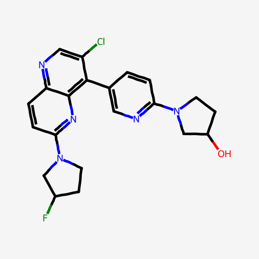 OC1CCN(c2ccc(-c3c(Cl)cnc4ccc(N5CCC(F)C5)nc34)cn2)C1